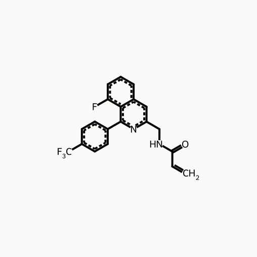 C=CC(=O)NCc1cc2cccc(F)c2c(-c2ccc(C(F)(F)F)cc2)n1